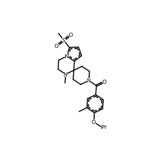 Cc1cc(C(=O)N2CCC3(CC2)c2ccc(S(C)(=O)=O)n2CCN3C)ccc1OC(C)C